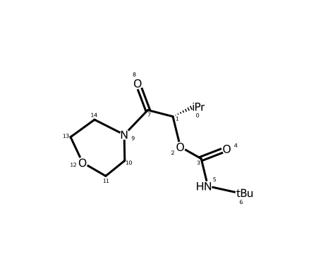 CC(C)[C@H](OC(=O)NC(C)(C)C)C(=O)N1CCOCC1